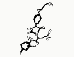 CS(=O)(=O)CCC(C(=O)Nc1ccc(I)cc1F)N1C(=O)NC(c2ccc(OCCO)cc2)C1=O